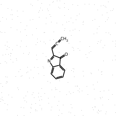 C=C=CC1=Nc2ccccc2C1=O